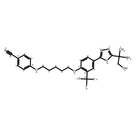 CC(N)(CO)c1nnc(-c2ccc(OCCCCCOc3ccc(C#N)cc3)c(C(F)(F)F)c2)s1